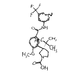 COc1ccc(C(=O)Nc2cncc(C(F)(F)F)c2)cc1[C@@]1(C(C)(C)C)CCN(C(=O)O)C1